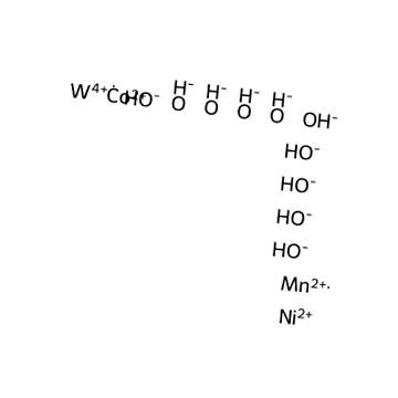 [Co+2].[Mn+2].[Ni+2].[OH-].[OH-].[OH-].[OH-].[OH-].[OH-].[OH-].[OH-].[OH-].[OH-].[W+4]